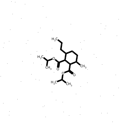 CCCC1CCC(C)C(C(=O)OC(C)C)C1C(=O)OC(C)C